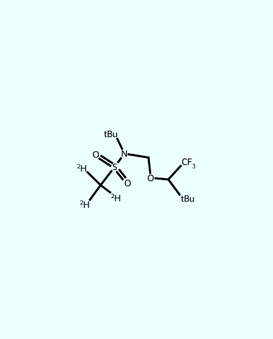 [2H]C([2H])([2H])S(=O)(=O)N(COC(C(C)(C)C)C(F)(F)F)C(C)(C)C